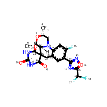 CC[C@@H]1O[C@H](C(F)(F)F)CN2c3cc(F)c(-c4noc(C(F)F)n4)cc3CC3(C(=O)NC(=O)NC3=O)[C@@H]12